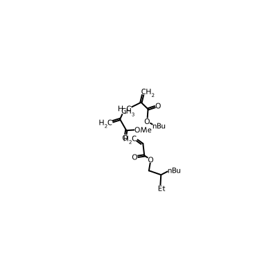 C=C(C)C(=O)OC.C=C(C)C(=O)OCCCC.C=CC(=O)OCC(CC)CCCC